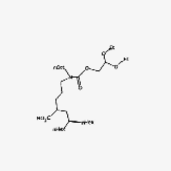 CCCCCCCCN(CCCC(CC(CCCCCC)CCCCCC)C(=O)O)C(=O)OCC(OCC)OCC